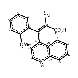 COc1ccccc1C(=C(C#N)C(=O)O)c1ccnc2ccccc12